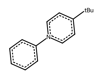 CC(C)(C)c1cc[n+](-c2ccccc2)cc1